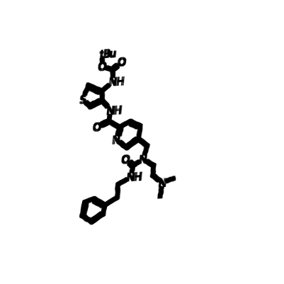 CN(C)CCN(Cc1ccc(C(=O)Nc2cscc2NC(=O)OC(C)(C)C)nc1)C(=O)NCCc1ccccc1